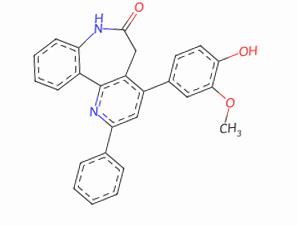 COc1cc(-c2cc(-c3ccccc3)nc3c2CC(=O)Nc2ccccc2-3)ccc1O